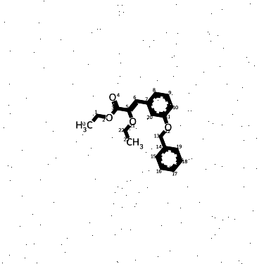 CCOC(=O)/C(=C/c1cccc(OCc2ccccc2)c1)OCC